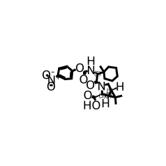 CC1([C@H](NC(=O)Oc2ccc([N+](=O)[O-])cc2)C(=O)N2C[C@H]3[C@@H]([C@H]2C(=O)O)C3(C)C)CCCCC1